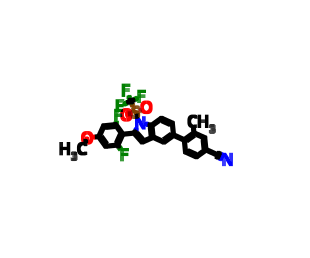 COc1cc(F)c(-c2cc3cc(-c4ccc(C#N)cc4C)ccc3n2S(=O)(=O)C(F)(F)F)c(F)c1